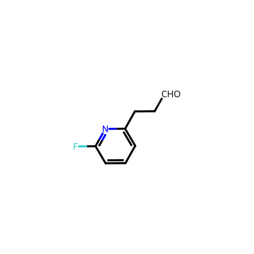 O=CCCc1cccc(F)n1